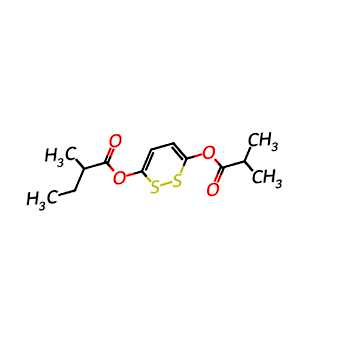 CCC(C)C(=O)OC1=CC=C(OC(=O)C(C)C)SS1